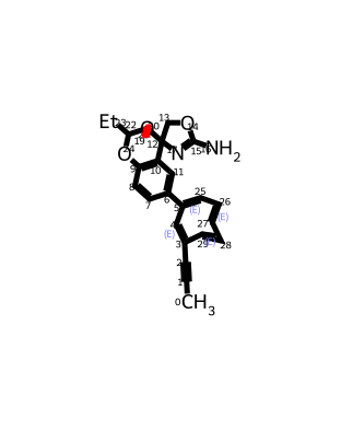 CC#CC1=C/C(c2ccc3c(c2)C2(COC(N)=N2)C2(COC2)C(CC)O3)=C\C=C\C=C\1